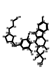 Cc1ccc2c3c([nH]c2c1)[C@@H](c1c(F)cc(NC2CCN(CCCF)C2)cc1F)N(CC(F)(F)CO)[C@H](C)C3